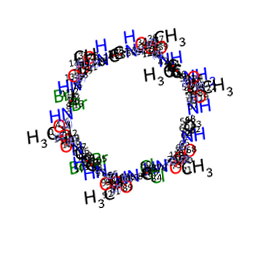 C/C=C1\C(=O)/C2=C/Nc3cc(Br)c(cc3Br)N/C=C3/C(=O)/C(=C\Nc4ccc(cc4)N/C=C4\C(=O)/C(=C/C)C(=O)/C(=C/Nc5ccc(cc5C)/C(N)=C5\C(=O)/C(=C\Nc6ccc(cc6)N/C=C6\C(=O)/C(=C/C)C(=O)/C(=C/Nc7cc(Cl)c(cc7Cl)N/C=C7\C(=O)/C(=C/C)C(=O)/C(=C/Nc8cc(Br)c(cc8Br)CN/C=C(\C1=O)C2=O)C7=O)C6=O)C(=O)/C(=C\C)C5=O)C4=O)C(=O)/C(=C\C)C3=O